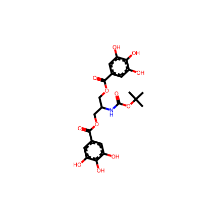 CC(C)(C)OC(=O)NC(COC(=O)c1cc(O)c(O)c(O)c1)COC(=O)c1cc(O)c(O)c(O)c1